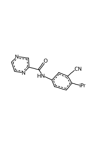 CC(C)c1ccc(NC(=O)c2cnccn2)cc1C#N